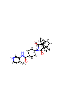 CC(=O)c1ccncc1NC(=O)C1CCC(N2C(=O)[C@@H]3[C@@H]4CC[C@@H](C4)[C@@H]3C2=O)CC1